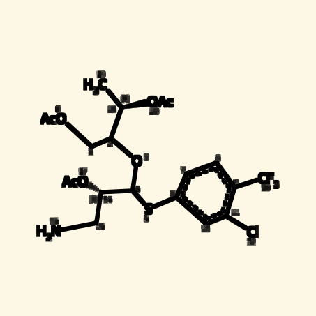 CC(=O)OCC(OC(Sc1ccc(C(F)(F)F)c(Cl)c1)[C@H](CN)OC(C)=O)[C@@H](C)OC(C)=O